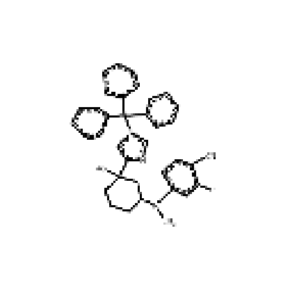 CN(c1ccc(C#N)c(Cl)c1)C1CCCC(O)(c2cn(C(c3ccccc3)(c3ccccc3)c3ccccc3)cn2)C1